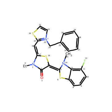 CCn1c(=O)/c(=C2\Sc3cccc(F)c3N2C)s/c1=C\c1scc[n+]1Cc1ccccc1